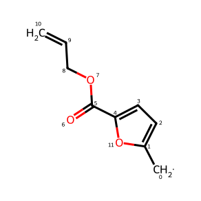 [CH2]c1ccc(C(=O)OCC=C)o1